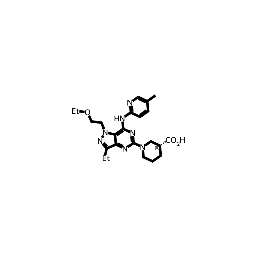 CCOCCn1nc(CC)c2nc(N3CCC[C@@H](C(=O)O)C3)nc(Nc3ccc(C)cn3)c21